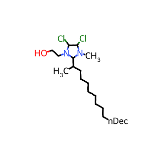 CCCCCCCCCCCCCCCCCCC(C)C1N(C)C(Cl)C(Cl)N1CCO